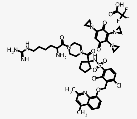 Cc1cc(C)c2cccc(OCc3c(Cl)ccc(S(=O)(=O)NC4(C(=O)N5CCN(C(=O)C(N)CCCCNC(=N)N)CC5)CCCC4)c3Cl)c2n1.O=C(O)C(F)(F)F.O=C1C=C(N2CC2)C(=O)C(N2CC2)=C1N1CC1